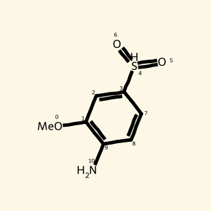 COc1cc([SH](=O)=O)ccc1N